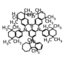 CC1(C)CCC(C)(C)c2cc(N3c4cc5c(cc4B4c6cc7c(cc6N(c6ccc8c(c6)C(C)(C)CCC8(C)C)c6cc(N8c9ccccc9C9(C)CCCCCC89C)cc3c64)C(C)(C)CCC7(C)C)C(C)(C)CCC5(C)C)ccc21